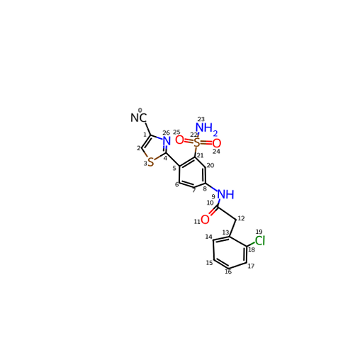 N#Cc1csc(-c2ccc(NC(=O)Cc3ccccc3Cl)cc2S(N)(=O)=O)n1